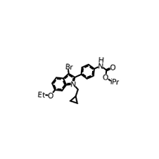 CCOc1ccc2c(Br)c(-c3ccc(NC(=O)OC(C)C)cc3)n(CC3CC3)c2c1